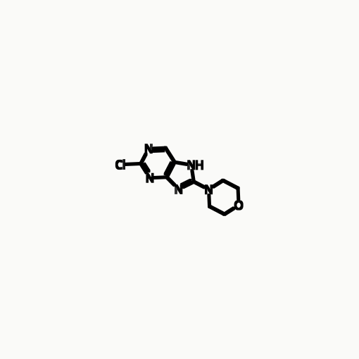 Clc1ncc2[nH]c(N3CCOCC3)nc2n1